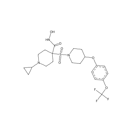 O=C(NO)C1(S(=O)(=O)N2CCC(Oc3ccc(OC(F)(F)F)cc3)CC2)CCN(C2CC2)CC1